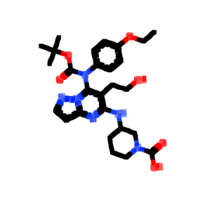 CCOc1ccc(N(C(=O)OC(C)(C)C)c2c(CCO)c(NC3CCCN(C(=O)O)C3)nc3ccnn23)cc1